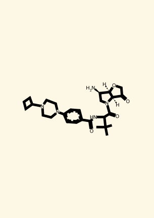 CC(C)(C)C(NC(=O)c1ccc(N2CCN(C3CCC3)CC2)cc1)C(=O)N1C[C@@H](N)[C@H]2OCC(=O)[C@H]21